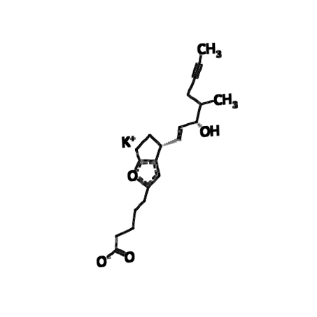 CC#CCC(C)[C@H](O)/C=C/[C@H]1CCc2oc(CCCCC(=O)[O-])cc21.[K+]